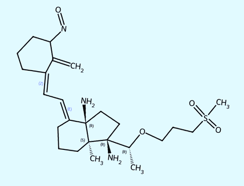 C=C1/C(=C\C=C2/CCC[C@@]3(C)[C@@]2(N)CC[C@]3(N)[C@@H](C)OCCCS(C)(=O)=O)CCCC1N=O